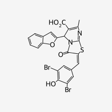 CC1=C(C(=O)O)C(c2cc3ccccc3o2)n2c(sc(=Cc3cc(Br)c(O)c(Br)c3)c2=O)=N1